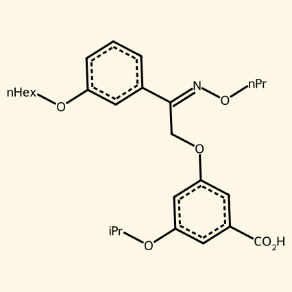 CCCCCCOc1cccc(C(COc2cc(OC(C)C)cc(C(=O)O)c2)=NOCCC)c1